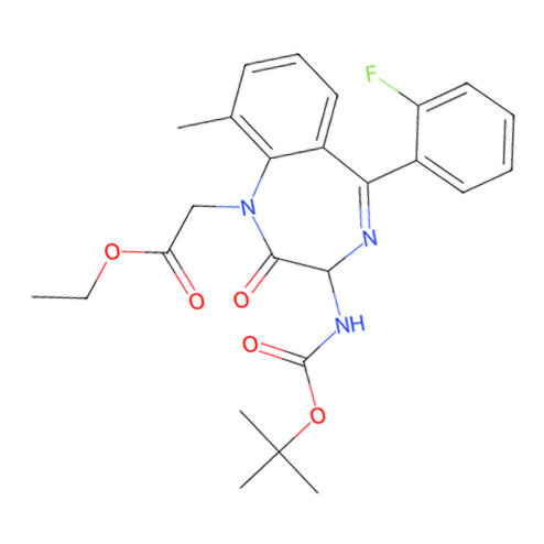 CCOC(=O)CN1C(=O)C(NC(=O)OC(C)(C)C)N=C(c2ccccc2F)c2cccc(C)c21